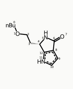 CCCCOCC[C@@H]1NC(=O)c2cc[nH]c21